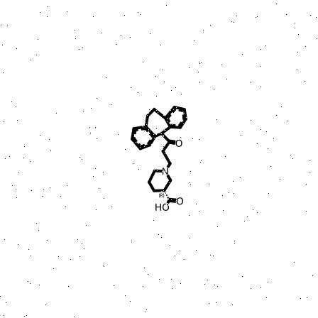 O=C(CCN1CCC[C@@H](C(=O)O)C1)C1c2ccccc2CCc2ccccc21